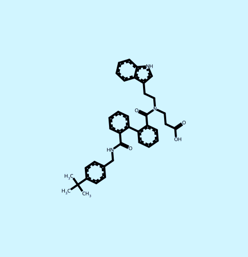 CC(C)(C)c1ccc(CNC(=O)c2ccccc2-c2ccccc2C(=O)N(CCC(=O)O)CCc2c[nH]c3ccccc23)cc1